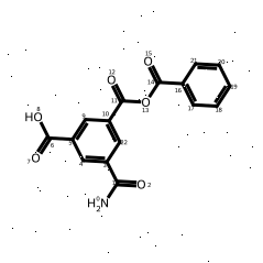 NC(=O)c1cc(C(=O)O)cc(C(=O)OC(=O)c2ccccc2)c1